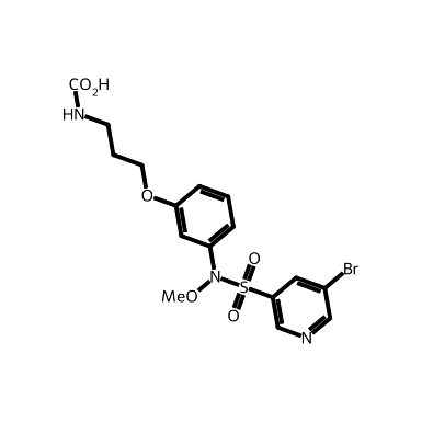 CON(c1cccc(OCCCNC(=O)O)c1)S(=O)(=O)c1cncc(Br)c1